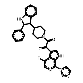 O=C(C(=O)N1CCC(C2c3ccccc3NC2c2ccccc2)CC1)c1c[nH]c2c(-n3ccnn3)ncc(F)c12